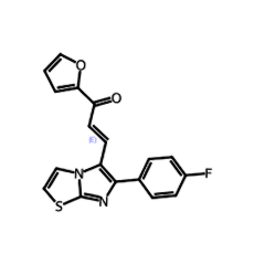 O=C(/C=C/c1c(-c2ccc(F)cc2)nc2sccn12)c1ccco1